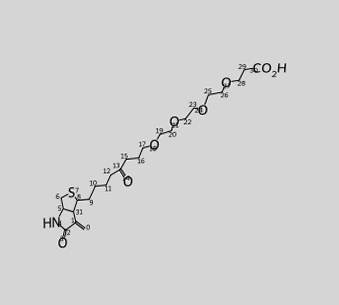 C=C1C(=O)NC2CSC(CCCCC(=O)CCCOCCOCCOCCOCCC(=O)O)C12